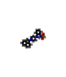 CS(=O)(=O)N1[CH]N(C2CCN([C@@H]3Cc4cccc5cccc3c45)CC2)c2ccccc21